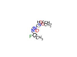 Cc1ccc(CN2CCN(C3CCN(C(=O)OC(C)(C)C)CC3)C2=O)c(F)c1